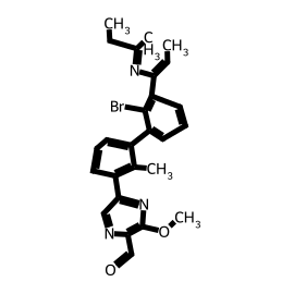 C/C=C(\N=C(/C)CC)c1cccc(-c2cccc(-c3cnc(C=O)c(OC)n3)c2C)c1Br